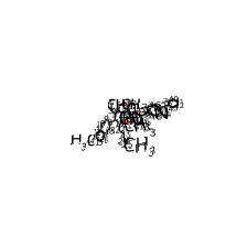 C/C=C\C(=C(/CC)C(C1C=Cc2cc(C)ccc2C1)C(CC)CCCC)C(C)c1cccc2c(-c3ccc(-c4ccccc4)nc3)cccc12